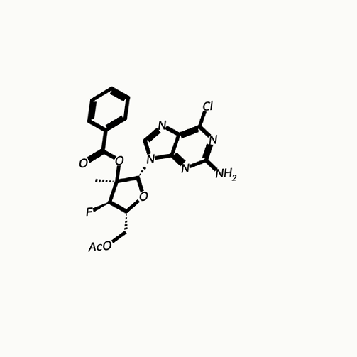 CC(=O)OC[C@H]1O[C@@H](n2cnc3c(Cl)nc(N)nc32)[C@](C)(OC(=O)c2ccccc2)[C@@H]1F